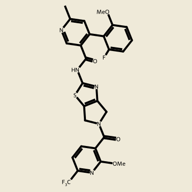 COc1cccc(F)c1-c1cc(C)ncc1C(=O)Nc1nc2c(s1)CN(C(=O)c1ccc(C(F)(F)F)nc1OC)C2